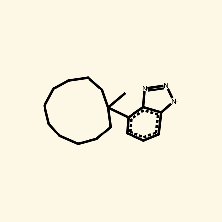 CC1(c2cccc3c2N=N[N]3)CCCCCCCCCC1